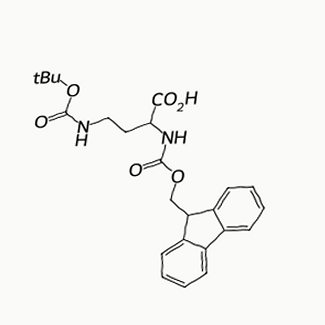 CC(C)(C)OC(=O)NCCC(NC(=O)OCC1c2ccccc2-c2ccccc21)C(=O)O